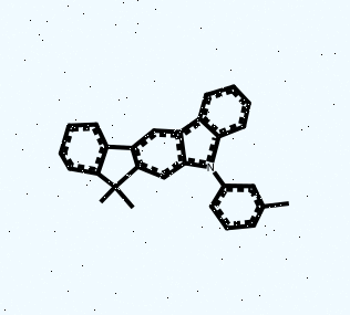 Cc1cccc(-n2c3ccccc3c3cc4c(cc32)C(C)(C)c2ccccc2-4)c1